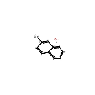 [Br-].[Zn+][c]1ccc2ccccc2c1